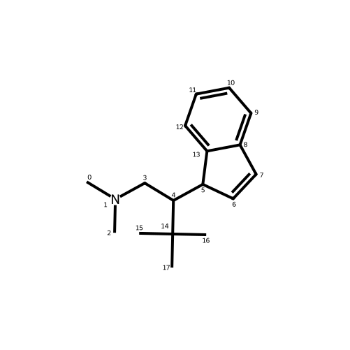 CN(C)CC(C1C=Cc2ccccc21)C(C)(C)C